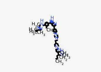 C=CCCC(C(=C)NC)c1ccc(N2CCC(CCN3CCN(c4ccc(-c5cnc6[nH]nc(-c7ccc(CNC(=C)C8=NCC(C(C)(C)C)=N8)c(CC)c7)c6c5)cc4)CC3)CC2)nc1C